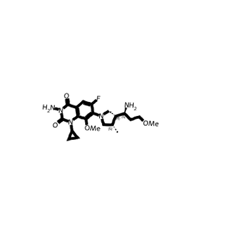 COCC[C@H](N)[C@H]1CN(c2c(F)cc3c(=O)n(N)c(=O)n(C4CC4)c3c2OC)C[C@H]1C